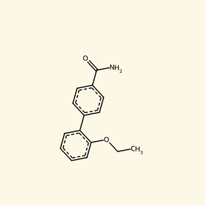 CCOc1ccccc1-c1ccc(C(N)=O)cc1